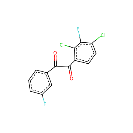 O=C(C(=O)c1ccc(Cl)c(F)c1Cl)c1cccc(F)c1